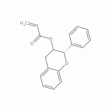 C=CC(=O)OC1Cc2ccccc2O[C@H]1c1ccccc1